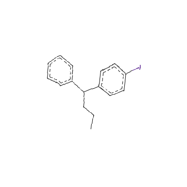 CCCC(c1ccccc1)c1ccc(I)cc1